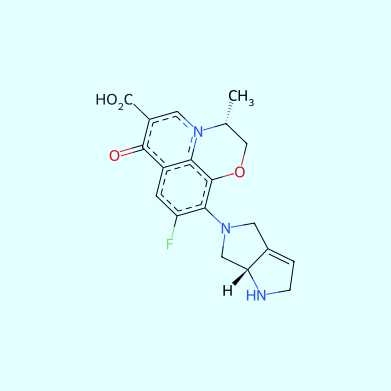 C[C@@H]1COc2c(N3CC4=CCN[C@@H]4C3)c(F)cc3c(=O)c(C(=O)O)cn1c23